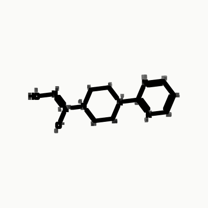 [O-][N+](=NO)N1CCN(c2ncccn2)CC1